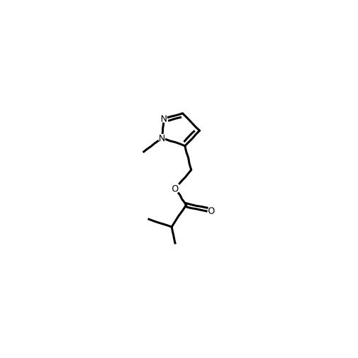 CC(C)C(=O)OCc1ccnn1C